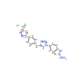 Nc1nc2ccc(-n3cc(Cc4ccc(-c5nnc(C(F)F)o5)cc4)nn3)cc2s1